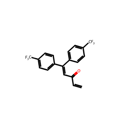 C=CC(=O)C=C(c1ccc(C(F)(F)F)cc1)c1ccc(C(F)(F)F)cc1